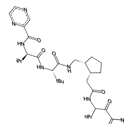 CCCC(NC(=O)C[C@H]1CCC[C@H]1CNC(=O)[C@@H](NC(=O)[C@H](NC(=O)c1cnccn1)C(C)C)C(C)(C)C)C(=O)C(=O)N[C@H](C)CC